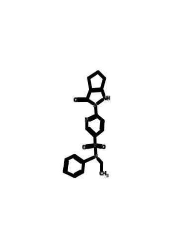 CCN(c1ccccc1)S(=O)(=O)c1ccc(-n2[nH]c3c(c2=O)CCC3)nc1